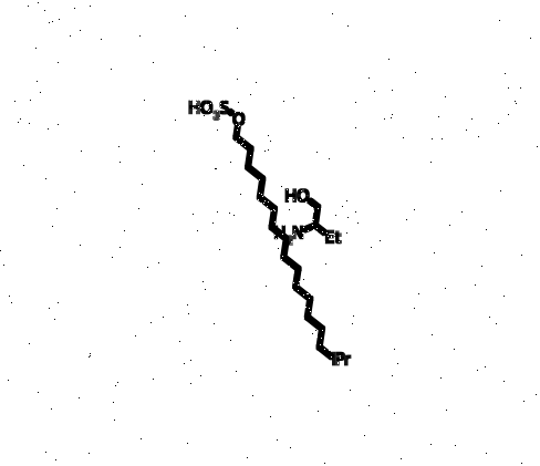 CC(C)CCCCCCCCCCCCCCCOS(=O)(=O)O.CCC(N)CO